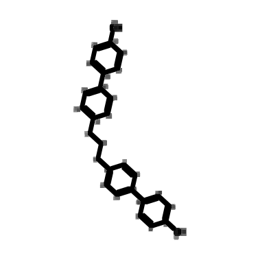 Oc1ccc(-c2ccc(CCCc3ccc(-c4ccc(O)cc4)cc3)cc2)cc1